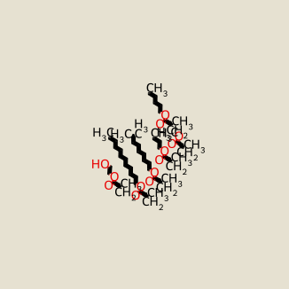 C=C(C)C(=O)OC.C=C(C)C(=O)OCCCC.C=C(C)C(=O)OCCCCCC.C=C(C)C(=O)OCCCCCCCC(C)C.C=C(C)C(=O)OCCCCCCCCCCCC.C=C(C)C(=O)OCCO